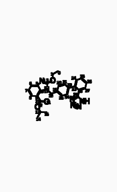 CCOc1nc2cccc(C(=O)OC(C)C)c2n1Cc1ccc(-c2ccccc2-c2nnn[nH]2)cc1